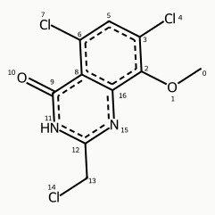 COc1c(Cl)cc(Cl)c2c(=O)[nH]c(CCl)nc12